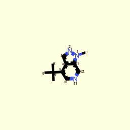 Cn1ncc2c(C(C)(C)C)cncc21